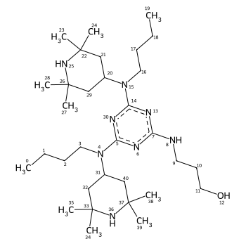 CCCCN(c1nc(NCCCO)nc(N(CCCC)C2CC(C)(C)NC(C)(C)C2)n1)C1CC(C)(C)NC(C)(C)C1